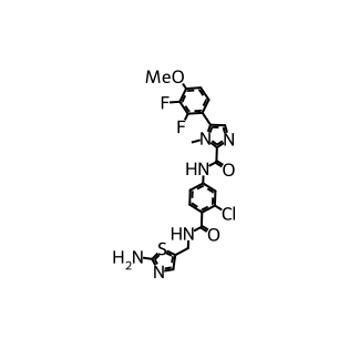 COc1ccc(-c2cnc(C(=O)Nc3ccc(C(=O)NCc4cnc(N)s4)c(Cl)c3)n2C)c(F)c1F